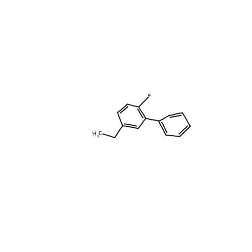 CCc1ccc(F)c(-c2ccccc2)c1